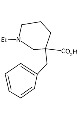 CCN1CCCC(Cc2ccccc2)(C(=O)O)C1